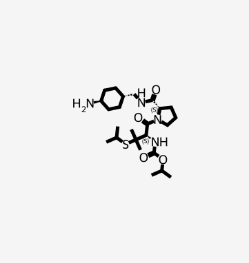 CC(C)OC(=O)N[C@@H](C(=O)N1CCC[C@H]1C(=O)NC[C@H]1CC[C@H](N)CC1)C(C)(C)SC(C)C